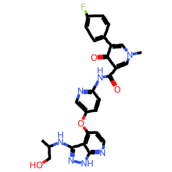 CC(CO)Nc1n[nH]c2nccc(Oc3ccc(NC(=O)c4cn(C)cc(-c5ccc(F)cc5)c4=O)nc3)c12